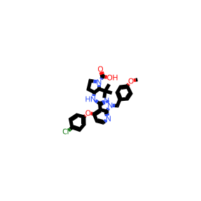 COc1ccc(Cn2nc(NC3CCN(C(=O)O)C3C(C)(C)C)c3c(Oc4ccc(Cl)cc4)ccnc32)cc1